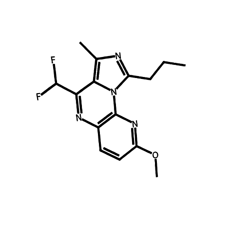 CCCc1nc(C)c2c(C(F)F)nc3ccc(OC)nc3n12